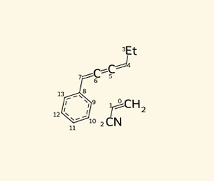 C=CC#N.CCC=C=C=Cc1ccccc1